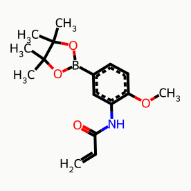 C=CC(=O)Nc1cc(B2OC(C)(C)C(C)(C)O2)ccc1OC